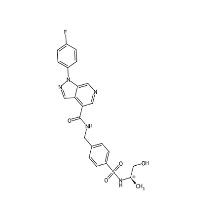 C[C@H](CO)NS(=O)(=O)c1ccc(CNC(=O)c2cncc3c2cnn3-c2ccc(F)cc2)cc1